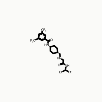 CCC(CC)NC(=O)CNC[C@H]1CC[C@H](NC(=O)c2cc(C(F)(F)F)cc(C(F)(F)F)c2)CC1